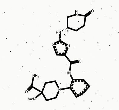 CNC1(C(N)=O)CCN(c2ccccc2NC(=O)c2csc(N[C@H]3CCC(=O)NC3)n2)CC1